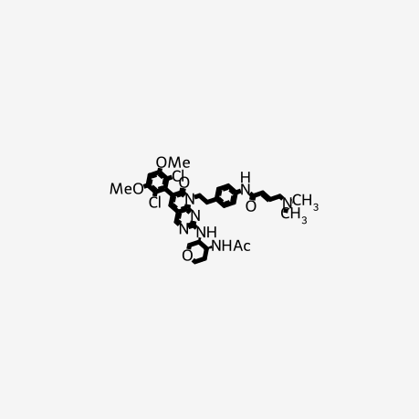 COc1cc(OC)c(Cl)c(-c2cc3cnc(N[C@@H]4COCC[C@@H]4NC(C)=O)nc3n(CCc3ccc(NC(=O)/C=C/CN(C)C)cc3)c2=O)c1Cl